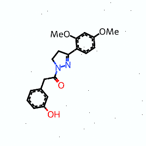 COc1ccc(C2=NN(C(=O)Cc3cccc(O)c3)CC2)c(OC)c1